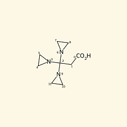 O=C(O)CC(N1CC1)(N1CC1)N1CC1